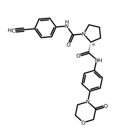 C#Cc1ccc(NC(=O)N2CCC[C@@H]2C(=O)Nc2ccc(N3CCOCC3=O)cc2)cc1